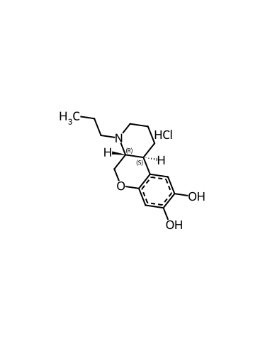 CCCN1CCC[C@H]2c3cc(O)c(O)cc3OC[C@@H]21.Cl